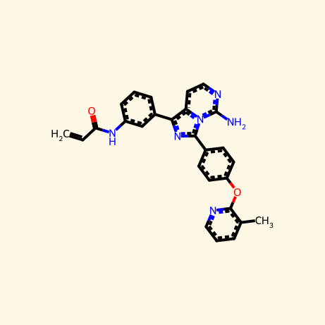 C=CC(=O)Nc1cccc(-c2nc(-c3ccc(Oc4ncccc4C)cc3)n3c(N)nccc23)c1